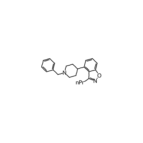 CCCc1noc2cccc(C3CCN(Cc4ccccc4)CC3)c12